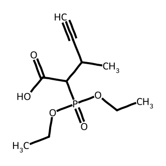 C#CC(C)C(C(=O)O)P(=O)(OCC)OCC